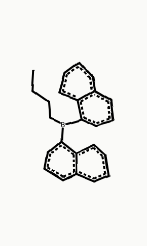 CCCCB(c1cccc2ccccc12)c1cccc2ccccc12